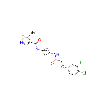 CC(C)c1oncc1C(=O)NC12CC(NC(=O)COc3ccc(Cl)c(F)c3)(C1)C2